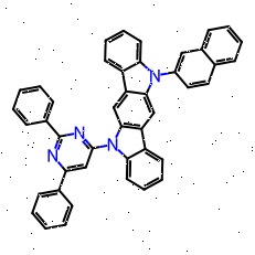 c1ccc(-c2cc(-n3c4ccccc4c4cc5c(cc43)c3ccccc3n5-c3ccc4ccccc4c3)nc(-c3ccccc3)n2)cc1